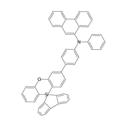 c1ccc(N(c2ccc(-c3ccc4c(c3)Oc3ccccc3[Si]43c4ccccc4-c4ccccc43)cc2)c2cc3ccccc3c3ccccc23)cc1